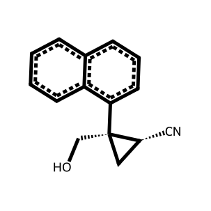 N#C[C@@H]1C[C@@]1(CO)c1cccc2ccccc12